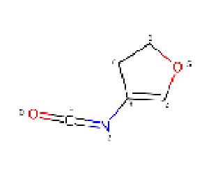 O=C=NC1=COCC1